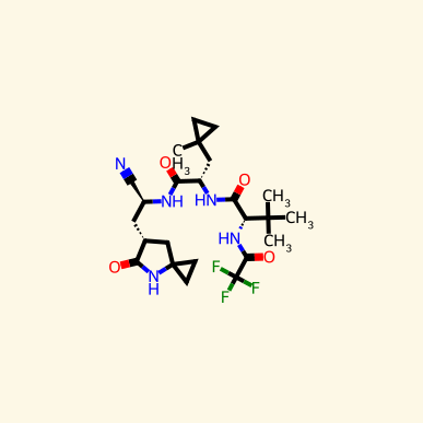 CC1(C[C@H](NC(=O)[C@@H](NC(=O)C(F)(F)F)C(C)(C)C)C(=O)N[C@H](C#N)C[C@@H]2CC3(CC3)NC2=O)CC1